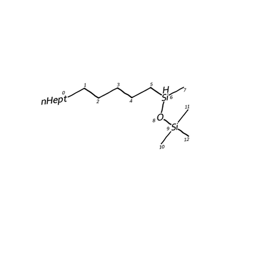 CCCCCCCCCCCC[SiH](C)O[Si](C)(C)C